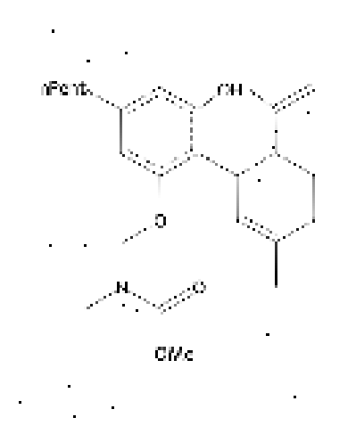 C=C(C)C1CCC(C)=CC1c1c(O)cc(CCCCC)cc1OCN(C)C(=O)OC